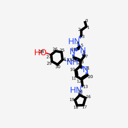 CCCCNc1ncc(-c2ccc(CNC3CCCC3)cn2)c(N[C@H]2CC[C@H](O)CC2)n1